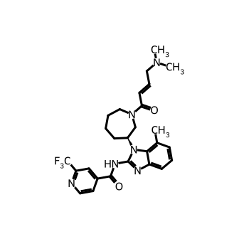 Cc1cccc2nc(NC(=O)c3ccnc(C(F)(F)F)c3)n([C@H]3CCCCN(C(=O)C=CCN(C)C)C3)c12